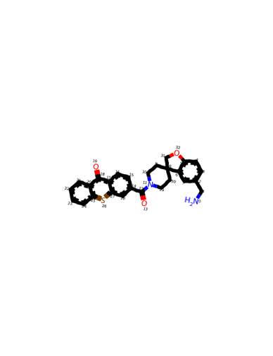 NCc1ccc2c(c1)C1(CCN(C(=O)c3ccc4c(=O)c5ccccc5sc4c3)CC1)CO2